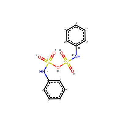 O=S(=O)(Nc1ccccc1)OS(=O)(=O)Nc1ccccc1